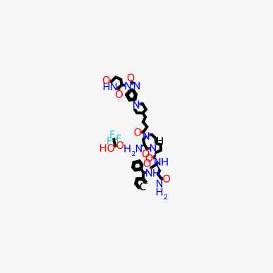 Cn1c(=O)n(C2CCC(=O)NC2=O)c2ccc(N3CCC(CCCC(=O)N4CC[C@H]5CC[C@@H](C(=O)N[C@@H](CCC(N)=O)C(=O)NC(c6ccccc6)c6ccccc6)N5C(=O)[C@@H](N)C4)CC3)cc21.O=C(O)C(F)(F)F